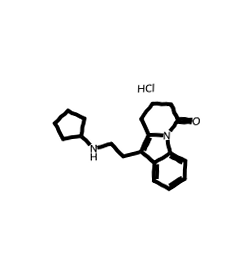 Cl.O=C1CCCc2c(CCNC3CCCC3)c3ccccc3n21